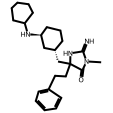 CN1C(=N)NC(CCc2ccccc2)(C[C@H]2CCC[C@H](NC3CCCCC3)C2)C1=O